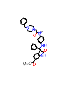 COC(=O)c1ccc2c(c1)NC(=O)/C2=C(\Nc1ccc(N(C)C(=O)CN2CCN(Cc3ccccc3)CC2)cc1)c1ccccc1